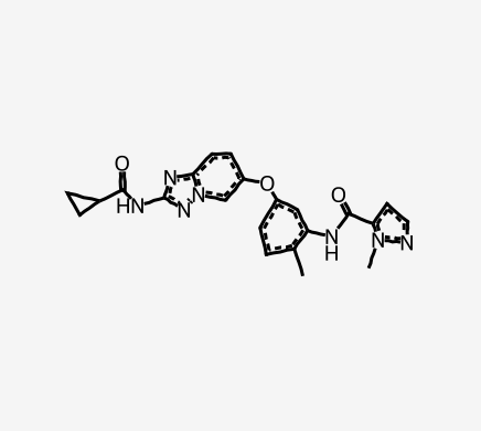 Cc1ccc(Oc2ccc3nc(NC(=O)C4CC4)nn3c2)cc1NC(=O)c1ccnn1C